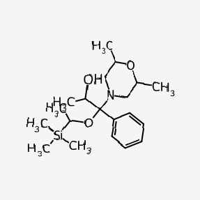 CC1CN(C(OC(C)[Si](C)(C)C)(c2ccccc2)C(C)O)CC(C)O1